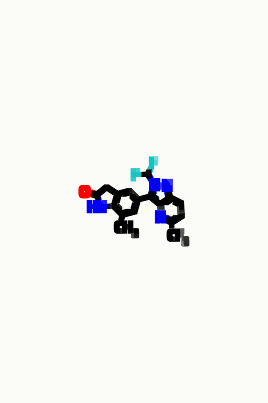 Cc1cc(-c2c3nc(C(F)(F)F)ccc3nn2C(F)F)cc2c1NC(=O)C2